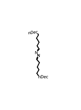 CCCCCCCCCCCCCCC=NN=CCCCCCCCCCCCCCC